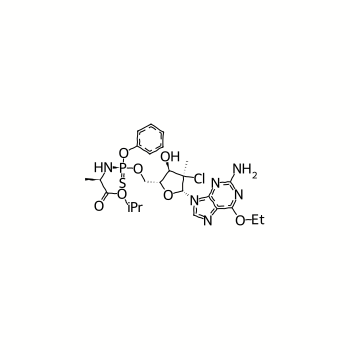 CCOc1nc(N)nc2c1ncn2[C@@H]1O[C@H](CO[P@@](=S)(N[C@H](C)C(=O)OC(C)C)Oc2ccccc2)[C@@H](O)[C@@]1(C)Cl